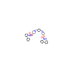 O=C(Nc1ccccc1-c1ccccc1)OC1CCN(Cc2ccc(CN3CCC(OC(=O)Nc4ccccc4-c4ccccc4)CC3)cc2)CC1